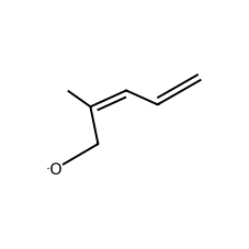 C=CC=C(C)C[O]